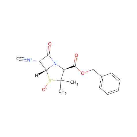 [C-]#[N+][C@@H]1C(=O)N2[C@@H]1[S+]([O-])C(C)(C)[C@@H]2C(=O)OCc1ccccc1